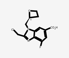 O=C(O)c1cc(F)c2nc(CCl)n(C[C@@H]3CCO3)c2c1